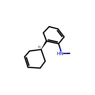 CNC1=C([C@@H]2CC=CCC2)CCC=C1